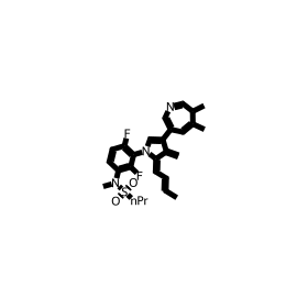 C=c1c(C2=CN=CC(C)C(C)=C2)cn(-c2c(F)ccc(N(C)S(=O)(=O)CCC)c2F)/c1=C/C=CC